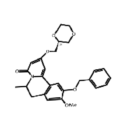 COc1cc2c(cc1OCc1ccccc1)-c1cc(OC[C@@H]3COCCO3)cc(=O)n1C(C)C2